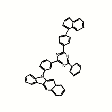 c1ccc(-c2nc(-c3ccc(-c4cccc5ccccc45)cc3)nc(-c3cccc(-n4c5ccccc5c5cc6ccccc6cc54)c3)n2)cc1